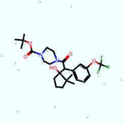 CC(C)(C)OC(=O)N1CCN(C(=O)C(c2cccc(OC(F)(F)F)c2)C2(O)CCCC2(C)C)CC1